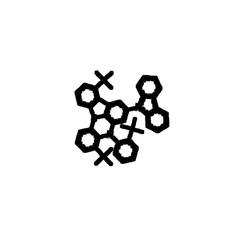 CC(C)(C)c1ccccc1N1c2cc(-n3c4ccccc4c4ccccc43)cc3c2B(c2cccc(C(C)(C)C)c2-3)c2cccc(C(C)(C)C)c21